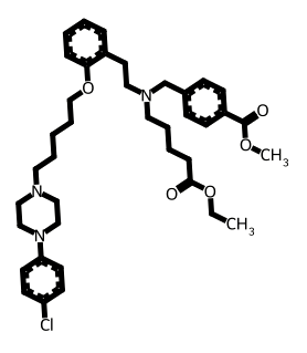 CCOC(=O)CCCCN(CCc1ccccc1OCCCCCN1CCN(c2ccc(Cl)cc2)CC1)Cc1ccc(C(=O)OC)cc1